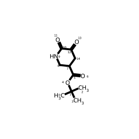 CC(C)(C)OC(=O)C1CNC(=O)C(=O)C1